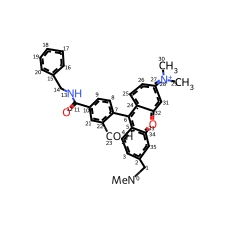 CNCc1ccc2c(-c3ccc(C(=O)NCc4ccccc4)cc3C(=O)O)c3ccc(=[N+](C)C)cc-3oc2c1